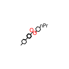 CCCC1CCC(OC(=O)c2ccc(C3=CCC(C)CC3)cc2)CC1